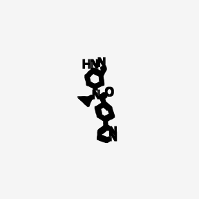 O=C(c1ccc(-c2cccnn2)cc1)N(C1CC1)C1CCc2[nH]ncc2C1